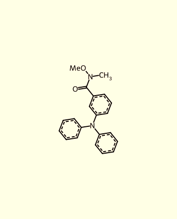 CON(C)C(=O)c1cccc(N(c2ccccc2)c2ccccc2)c1